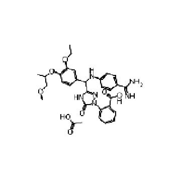 CC(=O)O.CCOc1cc(C(Nc2ccc(C(=N)N)cc2)c2nn(-c3ccccc3C(=O)O)c(=O)[nH]2)ccc1OC(C)COC